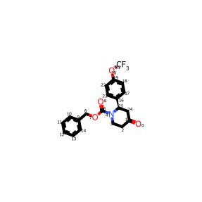 O=C1CCN(C(=O)OCc2ccccc2)[C@@H](c2ccc(OC(F)(F)F)cc2)C1